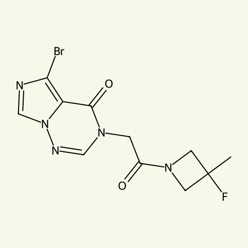 CC1(F)CN(C(=O)Cn2cnn3cnc(Br)c3c2=O)C1